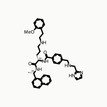 COc1ccccc1CCNCCC[C@H](NC(=O)c1ccc(CNCc2ncc[nH]2)cc1)C(=O)N[C@@H](C)c1cccc2ccccc12